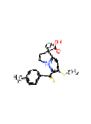 CSc1cc2n(c1C(=S)c1ccc(C)cc1)CCC2(C)C(=O)O